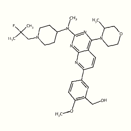 COc1ccc(-c2ccc3c(N4CCOCC4C)nc(N(C)C4CCN(CC(C)(C)F)CC4)nc3n2)cc1CO